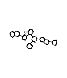 C1=CC(c2nc(-c3ccc4cc(-c5ccccc5)ccc4c3)nc(-c3cccc4oc5c(-c6ccc7ccccc7c6)cccc5c34)n2)=CCC1